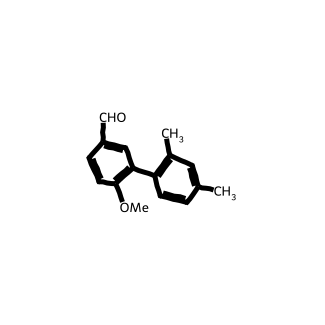 COc1ccc(C=O)cc1-c1ccc(C)cc1C